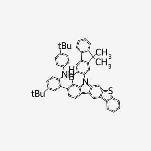 CC(C)(C)c1ccc(Nc2ccc(C(C)(C)C)cc2-c2ccc3c4cc5c(cc4n4c3c2Bc2cc3c(cc2-4)C(C)(C)c2ccccc2-3)sc2ccccc25)cc1